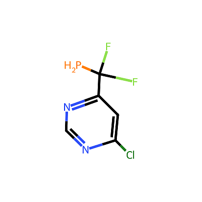 FC(F)(P)c1cc(Cl)ncn1